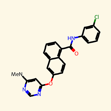 CNc1cc(Oc2ccc3c(C(=O)Nc4cccc(Cl)c4)cccc3c2)ncn1